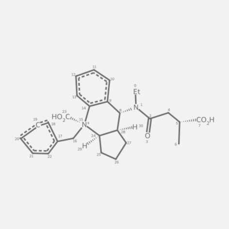 CCN(C(=O)C[C@@H](C)C(=O)O)[C@H]1c2ccccc2[N@@+](Cc2ccccc2)(C(=O)O)[C@@H]2CCC[C@@H]21